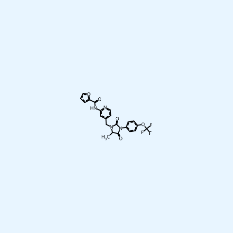 CC1C(=O)N(c2ccc(OC(F)(F)F)cc2)C(=O)N1Cc1ccnc(NC(=O)c2ccco2)c1